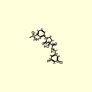 CS(=N)(=O)c1cccc(N2CCC(O)(C(=O)NCc3cc(F)cc(Cl)c3)C2=O)c1